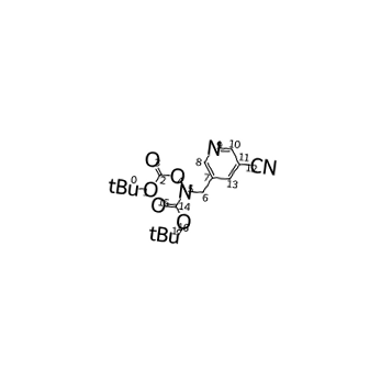 CC(C)(C)OC(=O)ON(Cc1cncc(C#N)c1)C(=O)OC(C)(C)C